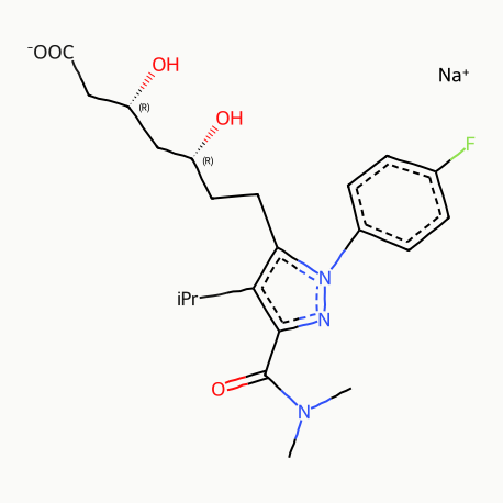 CC(C)c1c(C(=O)N(C)C)nn(-c2ccc(F)cc2)c1CC[C@@H](O)C[C@@H](O)CC(=O)[O-].[Na+]